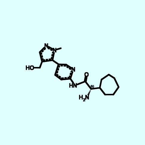 Cn1ncc(CO)c1-c1ccc(NC(=O)[C@@H](N)C2CCCCCC2)nc1